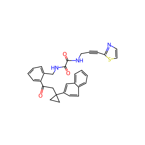 O=C(NCC#Cc1nccs1)C(=O)NCc1ccccc1C(=O)CC1(c2ccc3ccccc3c2)CC1